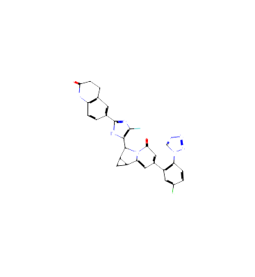 O=C1CCc2cc(-c3nc(F)c(C4C5CC5c5cc(-c6cc(Cl)ccc6-n6cnnn6)cc(=O)n54)[nH]3)ccc2N1